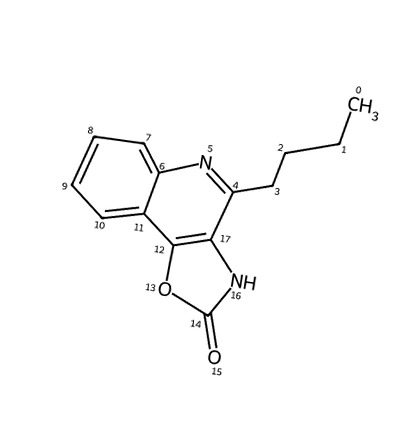 CCCCc1nc2ccccc2c2oc(=O)[nH]c12